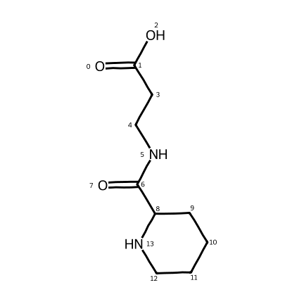 O=C(O)CCNC(=O)C1CCCCN1